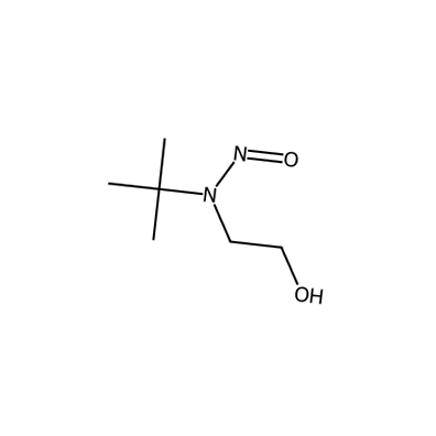 CC(C)(C)N(CCO)N=O